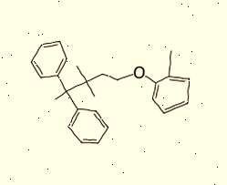 Cc1ccccc1OCCC(C)(C)C(C)(c1ccccc1)c1ccccc1